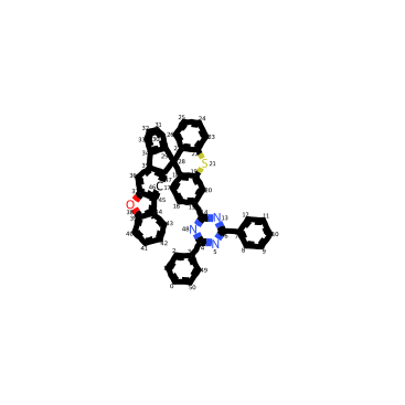 c1ccc(-c2nc(-c3ccccc3)nc(-c3ccc4c(c3)Sc3ccccc3C43c4ccccc4-c4cc5oc6ccccc6c5cc43)n2)cc1